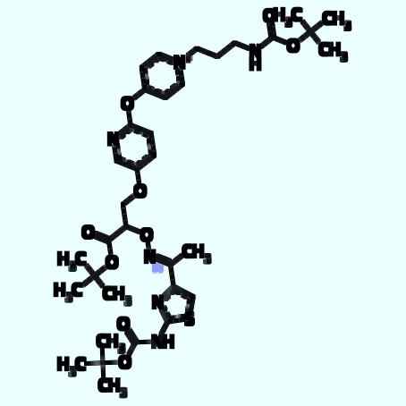 C/C(=N\OC(COc1ccc(Oc2cc[n+](CCCNC(=O)OC(C)(C)C)cc2)nc1)C(=O)OC(C)(C)C)c1csc(NC(=O)OC(C)(C)C)n1